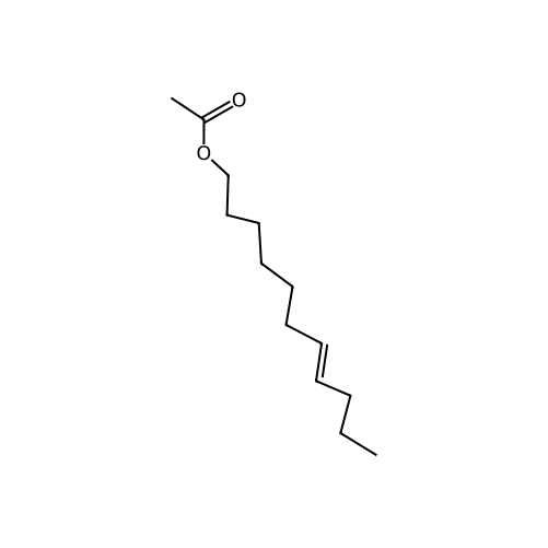 CCCC=CCCCCCCOC(C)=O